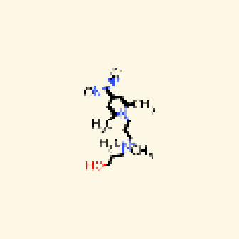 [C-]#[N+]C([N+]#[C-])=C1C=C(C)N(CCC[N+](C)(C)CCCO)C(C)=C1